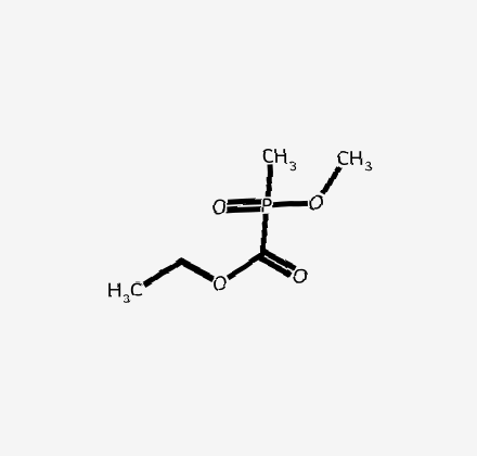 CCOC(=O)P(C)(=O)OC